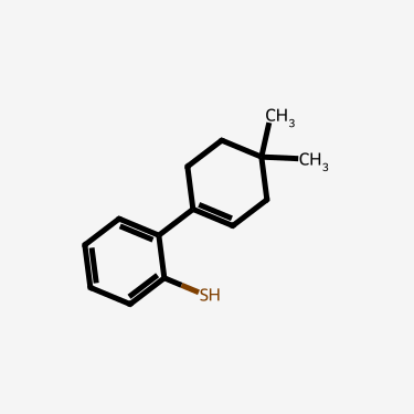 CC1(C)CC=C(c2ccccc2S)CC1